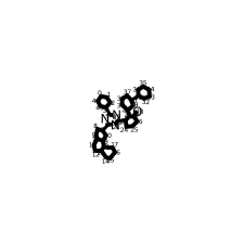 c1ccc(-c2nc(-c3ccc4ccc5ccccc5c4c3)nc(-c3cccc4oc5c(-c6ccccc6)cccc5c34)n2)cc1